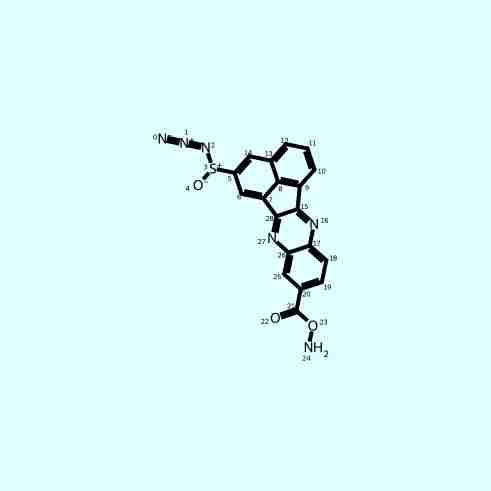 [N-]=[N+]=N[S+]([O-])c1cc2c3c(cccc3c1)-c1nc3ccc(C(=O)ON)cc3nc1-2